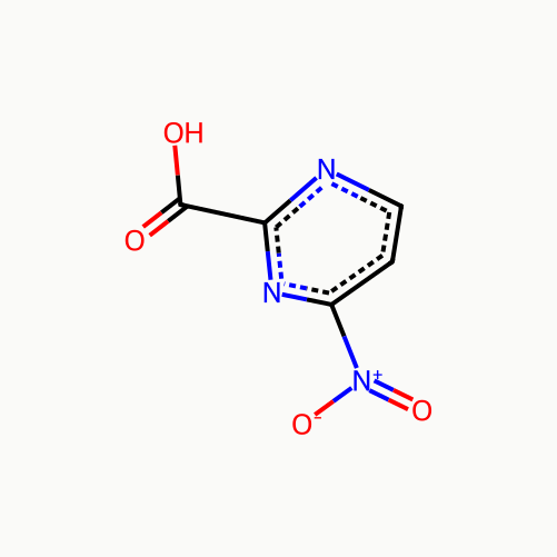 O=C(O)c1nccc([N+](=O)[O-])n1